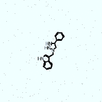 c1ccc(C2CN(Cc3c[nH]c4ccccc34)NN2)cc1